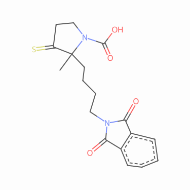 CC1(CCCCN2C(=O)c3ccccc3C2=O)C(=S)CCN1C(=O)O